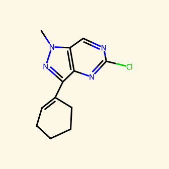 Cn1nc(C2=CCCCC2)c2nc(Cl)ncc21